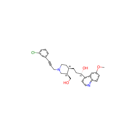 COc1ccc2nccc([C@@H](O)CC[C@@H]3CCN(CC#Cc4cccc(Cl)c4)C[C@@H]3CO)c2c1